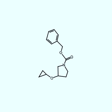 O=C(OCc1ccccc1)N1CCC(OC2CC2)C1